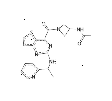 CC(=O)NC1CN(C(=O)c2nc(NC(C)c3ccccn3)nc3ccsc23)C1